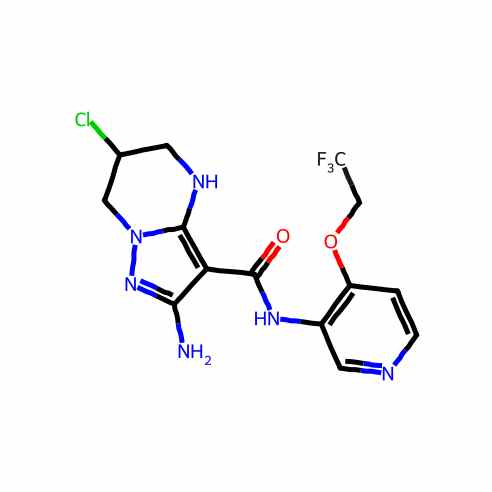 Nc1nn2c(c1C(=O)Nc1cnccc1OCC(F)(F)F)NCC(Cl)C2